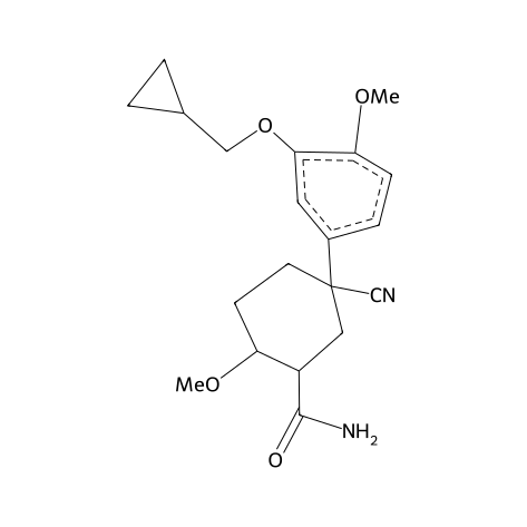 COc1ccc(C2(C#N)CCC(OC)C(C(N)=O)C2)cc1OCC1CC1